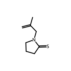 C=C(C)CN1CCCC1=S